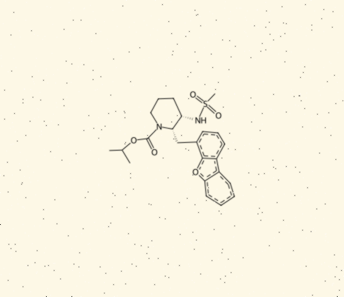 CC(C)OC(=O)N1CCC[C@H](NS(C)(=O)=O)[C@@H]1Cc1cccc2c1oc1ccccc12